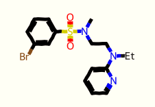 CCN(CCN(C)S(=O)(=O)c1cccc(Br)c1)c1ccccn1